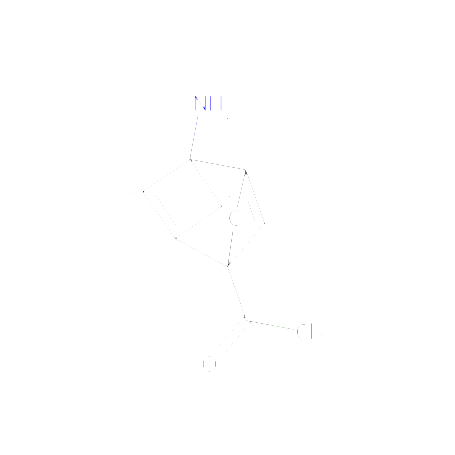 NC12C=C(C1)C1(C(=O)Cl)C=C2C1